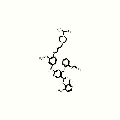 CCOc1ccccc1Oc1nc(Nc2ccc(OCCCN3CCN(C(C)C)CC3)c(OC)c2)ncc1C(=O)Nc1c(C)cccc1C